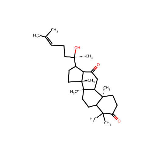 CC(C)=CCC[C@@](C)(O)C1CC[C@]2(C)C1C(=O)CC1[C@@]3(C)CCC(=O)C(C)(C)C3CC[C@]12C